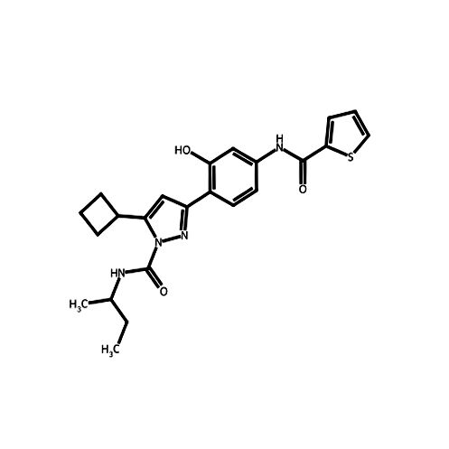 CCC(C)NC(=O)n1nc(-c2ccc(NC(=O)c3cccs3)cc2O)cc1C1CCC1